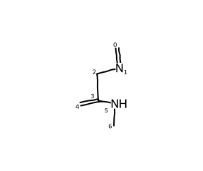 C=NCC(=C)NC